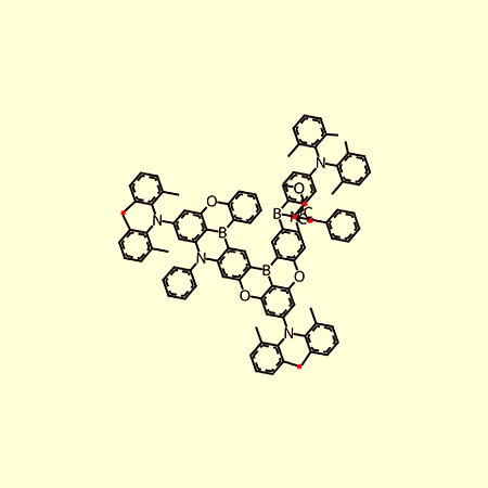 Cc1cccc(C)c1N(c1cc2c3c(c1)Oc1cc4c(cc1B3c1cc3c(cc1O2)N(c1ccccc1)c1cc(N(c2c(C)cccc2C)c2c(C)cccc2C)cc2c1B3c1ccccc1O2)B1c2ccccc2Oc2cc(N(c3c(C)cccc3C)c3c(C)cccc3C)cc(c21)N4c1ccccc1)c1c(C)cccc1C